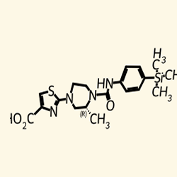 C[C@@H]1CN(c2nc(C(=O)O)cs2)CCN1C(=O)Nc1ccc([Si](C)(C)C)cc1